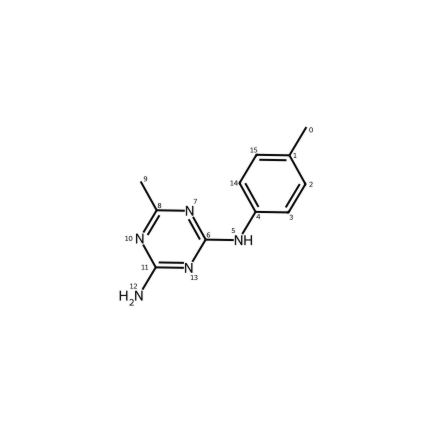 Cc1ccc(Nc2nc(C)nc(N)n2)cc1